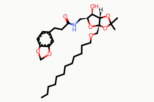 CCCCCCCCCCCCOC[C@@]12O[C@@H](CNC(=O)CCc3ccc4c(c3)OCO4)[C@@H](O)[C@@H]1OC(C)(C)O2